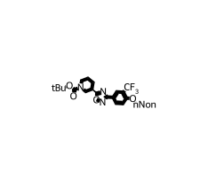 CCCCCCCCCOc1ccc(-c2noc([C@@H]3CCCN(C(=O)OC(C)(C)C)C3)n2)cc1C(F)(F)F